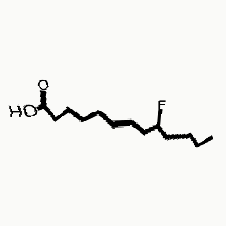 CCCCC(F)CCCCCCCC(=O)O